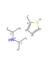 CC(C)NC(C)C.Cc1cccs1